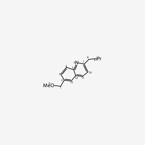 COCc1ccc2nc(CC(C)C)ccc2c1